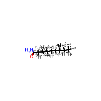 [2H]C([2H])([2H])C([2H])([2H])C([2H])([2H])C([2H])([2H])C([2H])([2H])C([2H])([2H])C([2H])([2H])C([2H])([2H])C(N)=O